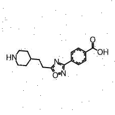 O=C(O)c1ccc(-c2noc(CCC3CCNCC3)n2)cc1